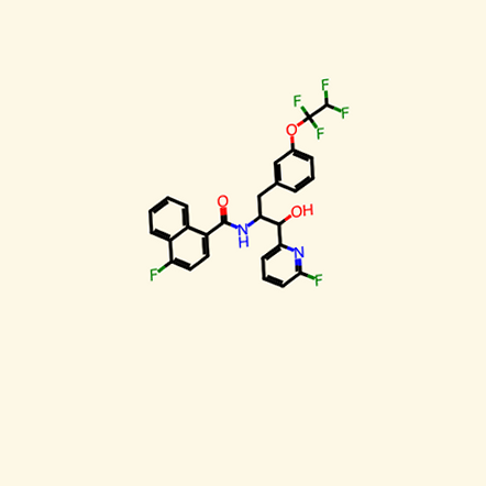 O=C(NC(Cc1cccc(OC(F)(F)C(F)F)c1)C(O)c1cccc(F)n1)c1ccc(F)c2ccccc12